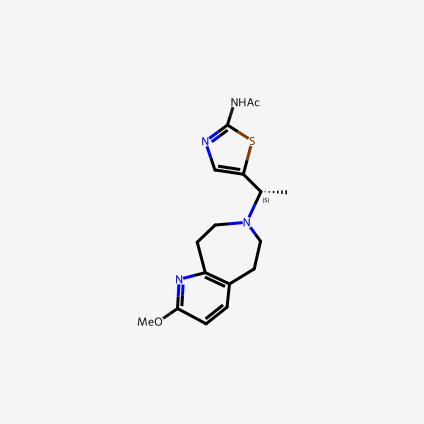 COc1ccc2c(n1)CCN([C@@H](C)c1cnc(NC(C)=O)s1)CC2